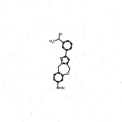 CC(=O)Nc1ccc2c(c1)OCc1cc(-c3cccc(N(C)C(C)=O)c3)nn1C2